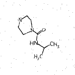 CC(C)NC(=O)N1CC[N]CC1